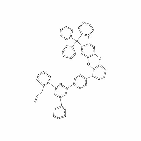 C=CCc1ccccc1-c1cc(-c2ccccc2)cc(-c2ccc(-c3cccc4c3Oc3cc5c(cc3O4)-c3ccccc3C5(c3ccccc3)c3ccccc3)cc2)n1